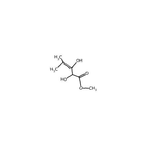 COC(=O)C(O)C(O)=C(C)C